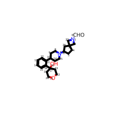 O=CN1CC2(CCC(N3CCC(c4ccccc4C4(O)CCOCC4)CC3)C2)C1